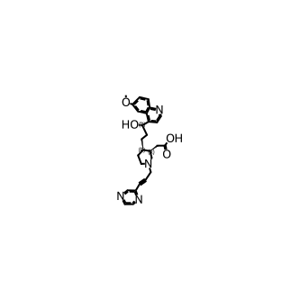 COc1ccc2nccc([C@H](O)CC[C@@H]3CCN(CC#Cc4cnccn4)C[C@@H]3CC(=O)O)c2c1